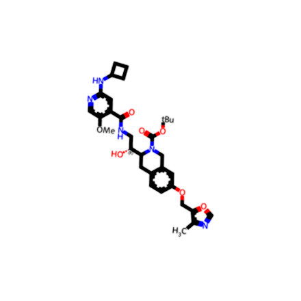 COc1cnc(NC2CCC2)cc1C(=O)NC[C@@H](O)C1Cc2ccc(OCc3ocnc3C)cc2CN1C(=O)OC(C)(C)C